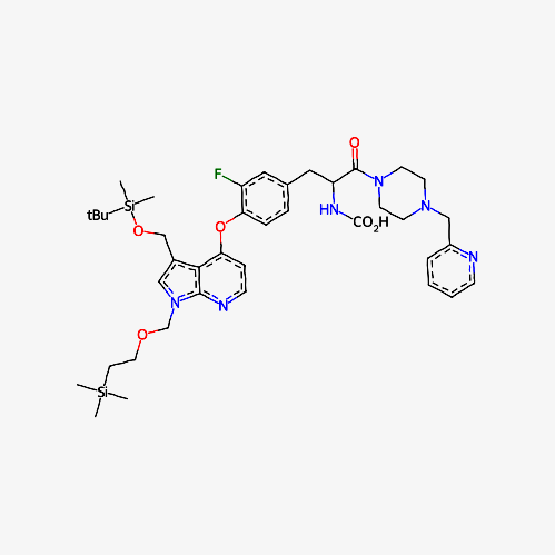 CC(C)(C)[Si](C)(C)OCc1cn(COCC[Si](C)(C)C)c2nccc(Oc3ccc(CC(NC(=O)O)C(=O)N4CCN(Cc5ccccn5)CC4)cc3F)c12